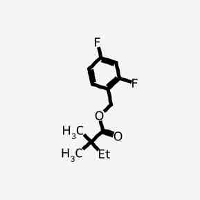 CCC(C)(C)C(=O)OCc1ccc(F)cc1F